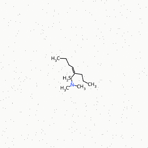 CCCC=C(CCC)[SiH2]N(C)C